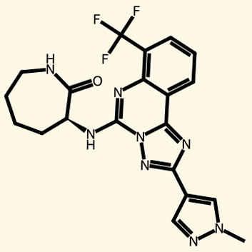 Cn1cc(-c2nc3c4cccc(C(F)(F)F)c4nc(N[C@H]4CCCCNC4=O)n3n2)cn1